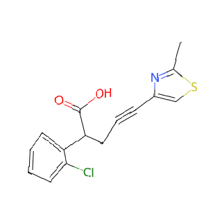 Cc1nc(C#CCC(C(=O)O)c2ccccc2Cl)cs1